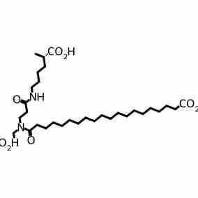 C[C@@H](CCCCNC(=O)CCN(CC(=O)O)C(=O)CCCCCCCCCCCCCCCCCCC(=O)O)C(=O)O